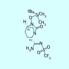 CC(C)(C)[Si](C)(C)ON1C(=O)N2C[C@H]1CC[C@H]2C(N)=NS(=O)(=O)C(F)(F)F